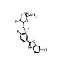 C[C@@H](C[C@H](OC(=N)N)C(F)F)c1cc(-c2nc3ccc(Cl)cc3o2)ccc1F